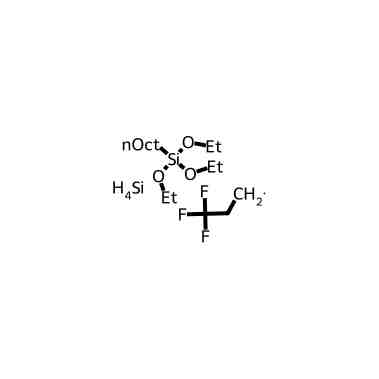 CCCCCCCC[Si](OCC)(OCC)OCC.[CH2]CC(F)(F)F.[SiH4]